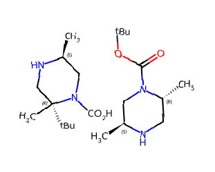 C[C@@H]1CN[C@@H](C)CN1C(=O)OC(C)(C)C.C[C@H]1CN(C(=O)O)[C@](C)(C(C)(C)C)CN1